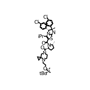 CC(C)C1=C(C(=O)N2[C@H](C)CC[C@H]2C(=O)N2CCN(CCO[Si](C)(C)C(C)(C)C)C3(CC3)C2)SC2=N[C@@](C)(c3ccc(Cl)cc3)[C@@H](c3ccc(Cl)cc3)N21